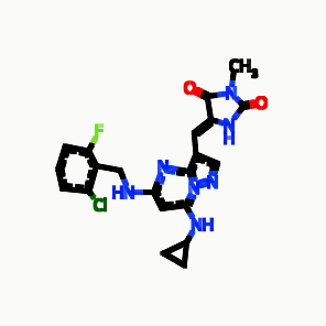 CN1C(=O)N/C(=C\c2cnn3c(NC4CC4)cc(NCc4c(F)cccc4Cl)nc23)C1=O